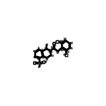 CC1c2cccc(S(C)(=O)=O)c2CCN1C(=O)Cc1c(Cl)cccc1Cl